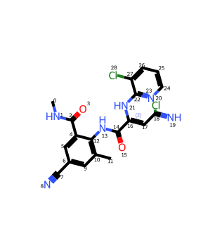 CNC(=O)c1cc(C#N)cc(C)c1NC(=O)/C(=C/C(=N)Cl)Nc1ncccc1Cl